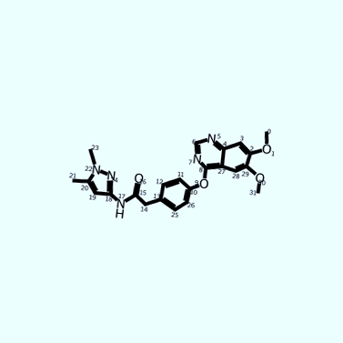 COc1cc2ncnc(Oc3ccc(CC(=O)Nc4cc(C)n(C)n4)cc3)c2cc1OC